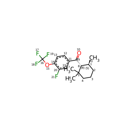 C[C@H]1CCCC(C)(C)[C@@H]1C(=O)c1ccc(OC(F)(F)F)c(F)c1